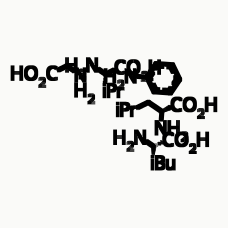 CC(C)C[C@H](N)C(=O)O.CC(C)[C@H](N)C(=O)O.CC[C@H](C)[C@H](N)C(=O)O.NCC(=O)O.Nc1ccccc1